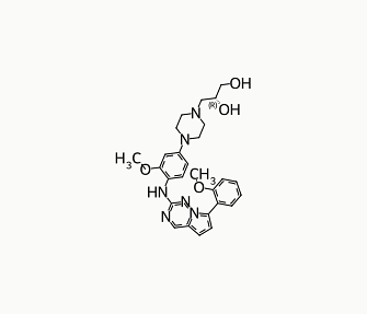 COc1cc(N2CCN(C[C@@H](O)CO)CC2)ccc1Nc1ncc2ccc(-c3ccccc3OC)n2n1